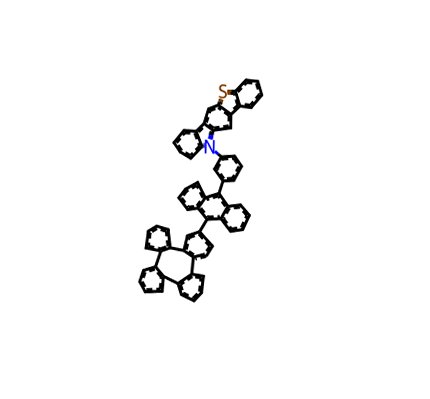 c1cc(-c2c3ccccc3c(-c3ccc4c(c3)-c3ccccc3-c3ccccc3-c3ccccc3-4)c3ccccc23)cc(-n2c3ccccc3c3cc4sc5ccccc5c4cc32)c1